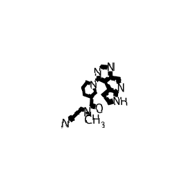 CN(CC#N)C(=O)C1CCCN(c2ncnc3cnc4[nH]ccc4c23)C1